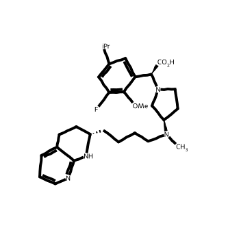 COc1c(F)cc(C(C)C)cc1[C@@H](C(=O)O)N1CC[C@@H](N(C)CCCC[C@H]2CCc3cccnc3N2)C1